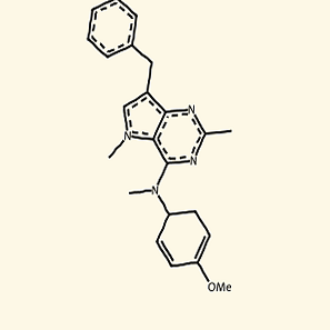 COC1=CCC(N(C)c2nc(C)nc3c(Cc4ccccc4)cn(C)c23)C=C1